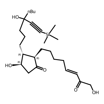 CCCCC(O)(C#C[Si](C)(C)C)CCC[C@H]1[C@H](O)CC(=O)[C@@H]1CCCCC=CC(=O)CO